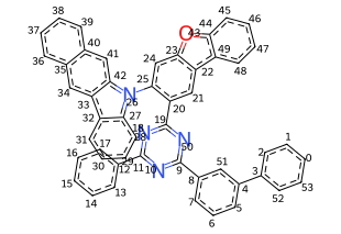 c1ccc(-c2cccc(-c3nc(-c4ccccc4)nc(-c4cc5c(cc4-n4c6ccccc6c6cc7ccccc7cc64)oc4ccccc45)n3)c2)cc1